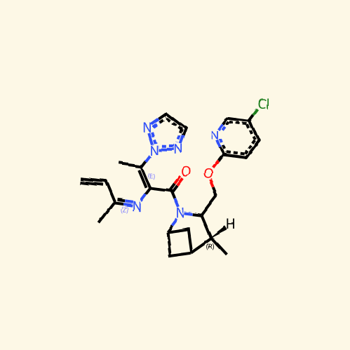 C=C/C(C)=N\C(C(=O)N1C2CC(C2)[C@@H](C)C1COc1ccc(Cl)cn1)=C(/C)n1nccn1